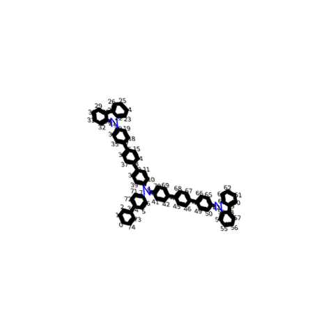 c1ccc(-c2ccc(N(c3ccc(-c4ccc(-c5ccc(-n6c7ccccc7c7ccccc76)cc5)cc4)cc3)c3ccc(-c4ccc(-c5ccc(-n6c7ccccc7c7ccccc76)cc5)cc4)cc3)cc2)cc1